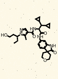 CCC(CCO)n1ncc(C(=O)NC(C(=O)Nc2ccc3c(c2)NC(=O)C32CCOCC2)C(C2CC2)C2CC2)c1C